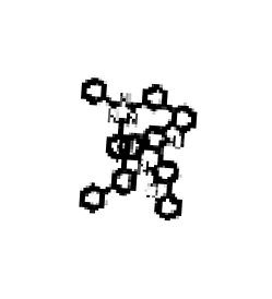 c1ccc(-c2ccc3c(c2)c2ccccc2n3-c2c(-c3cccc4c3oc3cccc(-c5cccc(-c6nc(-c7ccccc7)nc(-c7ccccc7)n6)c5)c34)ccc3c2oc2ccccc23)cc1